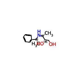 C[C@@H](N[C@H](C)[C@@H](O)CO)c1ccccc1